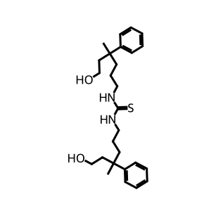 CC(CCO)(CCCNC(=S)NCCCC(C)(CCO)c1ccccc1)c1ccccc1